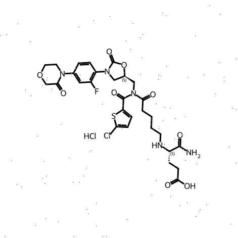 Cl.NC(=O)[C@H](CCC(=O)O)NCCCCC(=O)N(C[C@H]1CN(c2ccc(N3CCOCC3=O)cc2F)C(=O)O1)C(=O)c1ccc(Cl)s1